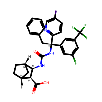 O=C(N[C@@H]1[C@H]2CC[C@H](C2)[C@@H]1C(=O)O)N[C@@](Cc1ccccc1)(c1cc(F)cc(C(F)(F)F)c1)c1ccc(I)cn1